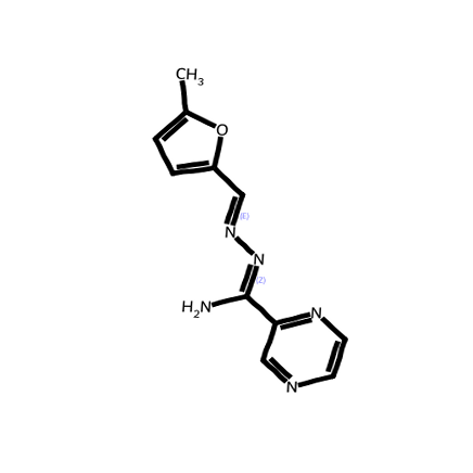 Cc1ccc(/C=N/N=C(\N)c2cnccn2)o1